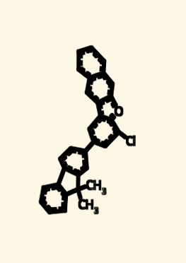 CC1(C)c2ccccc2-c2ccc(-c3cc(Cl)c4oc5cc6ccccc6cc5c4c3)cc21